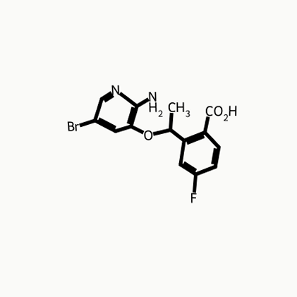 CC(Oc1cc(Br)cnc1N)c1cc(F)ccc1C(=O)O